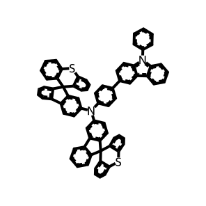 c1ccc(-n2c3ccccc3c3cc(-c4ccc(N(c5ccc6c(c5)-c5ccccc5C65c6ccccc6Sc6ccccc65)c5ccc6c(c5)C5(c7ccccc7Sc7ccccc75)c5ccccc5-6)cc4)ccc32)cc1